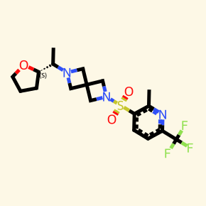 Cc1nc(C(F)(F)F)ccc1S(=O)(=O)N1CC2(CN(C(C)[C@@H]3CCCO3)C2)C1